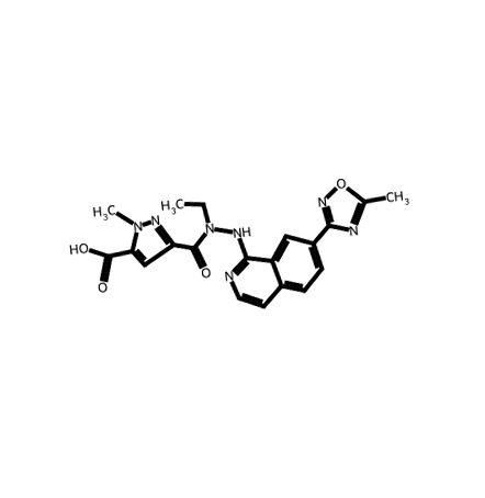 CCN(Nc1nccc2ccc(-c3noc(C)n3)cc12)C(=O)c1cc(C(=O)O)n(C)n1